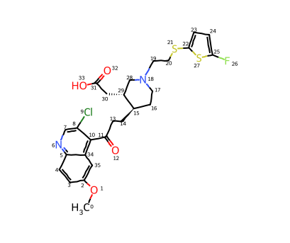 COc1ccc2ncc(Cl)c(C(=O)CC[C@@H]3CCN(CCSc4ccc(F)s4)C[C@H]3CC(=O)O)c2c1